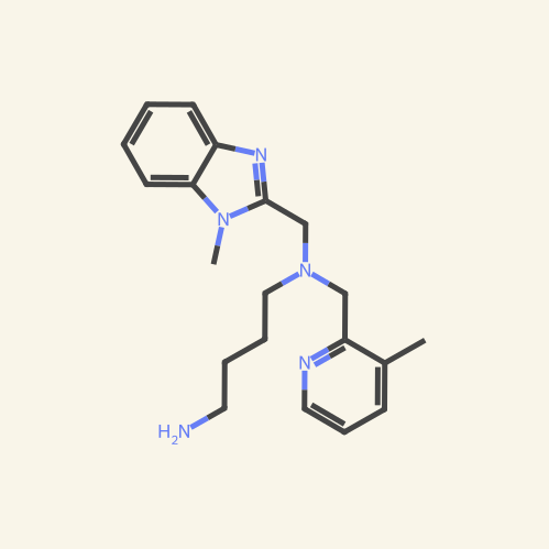 Cc1cccnc1CN(CCCCN)Cc1nc2ccccc2n1C